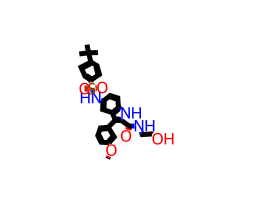 COc1cccc(-c2c(C(=O)NCCO)[nH]c3ccc(NS(=O)(=O)c4ccc(C(C)(C)C)cc4)cc23)c1